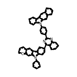 c1ccc(-n2c3ccc(-c4nc(-c5ccc(-n6c7ccccc7c7cc8ccccc8cc76)cc5)nc5ccccc45)cc3c3cc4ccccc4cc32)cc1